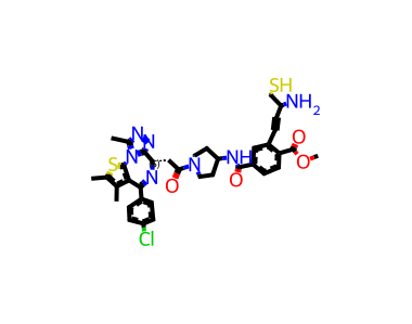 COC(=O)c1ccc(C(=O)NC2CCN(C(=O)C[C@@H]3N=C(c4ccc(Cl)cc4)c4c(sc(C)c4C)-n4c(C)nnc43)CC2)cc1C#CC(N)CS